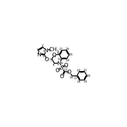 Cn1ccnc1O[C@H]1CN(S(=O)(=O)C(=O)OCc2ccccc2)c2ccccc2O1